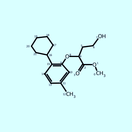 COC(=O)C(CCO)Oc1cc(C)ccc1C1CCCCC1